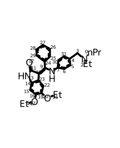 CCCN(CC)Cc1ccc(NC(=C2C(=O)Nc3cc(OCC)c(OCC)cc32)c2ccccc2)cc1